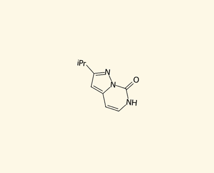 CC(C)c1cc2cc[nH]c(=O)n2n1